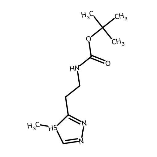 C[SH]1C=NN=C1CCNC(=O)OC(C)(C)C